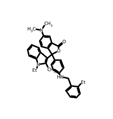 CCc1ccccc1CNc1ccc(C2(c3c(C)n(CC)c4ccccc34)OC(=O)c3cc(N(C)C)ccc32)cc1